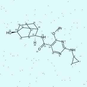 CC(C)Oc1nc(NC2CC2)ncc1C(=O)N[C@H]1C2CC3CC1C[C@@](O)(C3)C2